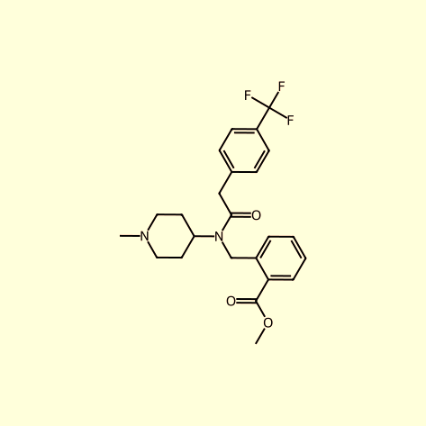 COC(=O)c1ccccc1CN(C(=O)Cc1ccc(C(F)(F)F)cc1)C1CCN(C)CC1